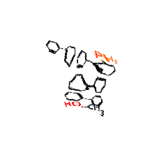 CCO.Pc1ccccc1-c1ccccc1.c1ccc(-c2ccccc2)cc1.c1ccc(-c2ccccc2)cc1.c1ccc(-c2ccccc2)cc1